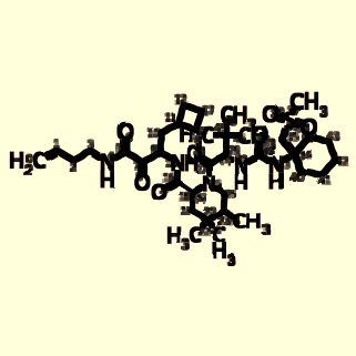 C=CCCNC(=O)C(=O)C(CC1CCC1)NC(=O)[C@@H]1CC(C)(C)C(C)CN1C(=O)[C@@H](NC(=O)NC1(CS(C)(=O)=O)CCCCC1)C(C)(C)C